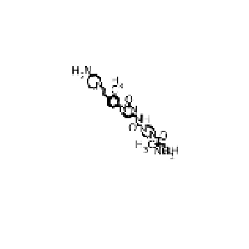 Cc1cc(-n2ccc(NC(=O)N3CCN(C(=O)[C@@](C)(N)CO)CC3)nc2=O)ccc1CCN1CCCC(N)CC1